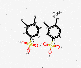 Cc1ccc(S(=O)(=O)[O-])cc1C.Cc1ccc(S(=O)(=O)[O-])cc1C.[Cd+2]